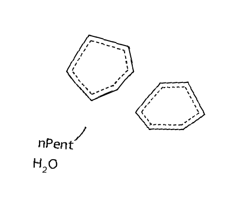 CCCCCC.O.c1ccccc1.c1ccccc1